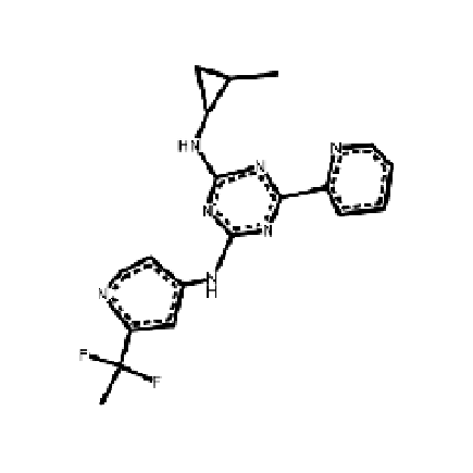 CC1CC1Nc1nc(Nc2ccnc(C(C)(F)F)c2)nc(-c2ccccn2)n1